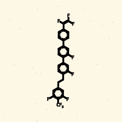 FC(F)=C(F)c1ccc(-c2ccc(-c3ccc(CCc4cc(F)c(C(F)(F)F)c(F)c4)c(F)c3)c(F)c2)cc1